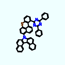 c1ccc(-c2nc(-c3ccccc3)nc(-c3cccc4c3-c3cccc5c(-n6c7ccc8ccccc8c7c7c8ccccc8ccc76)ccc(c35)S4)n2)cc1